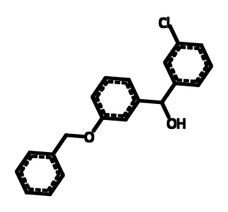 OC(c1cccc(Cl)c1)c1cccc(OCc2ccccc2)c1